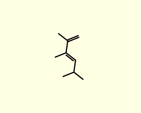 C=C(C)C(C)=CC(C)C